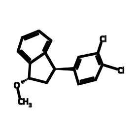 CO[C@H]1C[C@H](c2ccc(Cl)c(Cl)c2)c2ccccc21